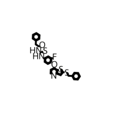 O=C(Cc1ccccc1)NC(=S)Nc1ccc(Oc2ccnc3cc(SCc4ccccc4)sc23)c(F)c1